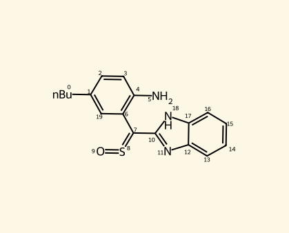 CCCCc1ccc(N)c(C(=S=O)c2nc3ccccc3[nH]2)c1